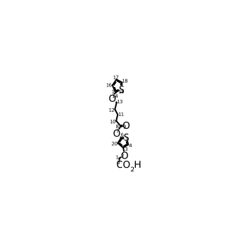 O=C(O)COc1csc(OC(=O)CCCCOc2cccs2)c1